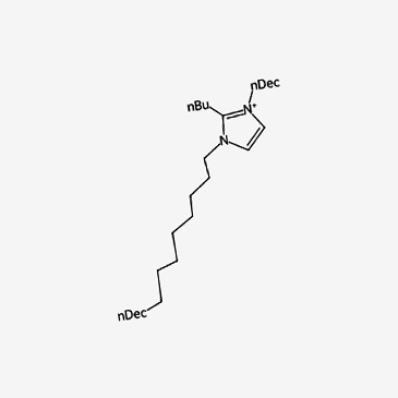 CCCCCCCCCCCCCCCCCCn1cc[n+](CCCCCCCCCC)c1CCCC